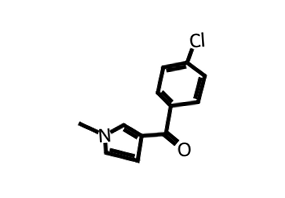 Cn1ccc(C(=O)c2ccc(Cl)cc2)c1